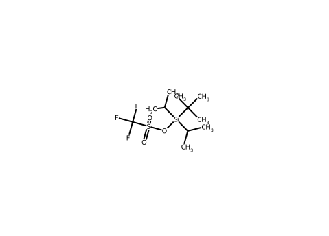 CC(C)[Si](OS(=O)(=O)C(F)(F)F)(C(C)C)C(C)(C)C